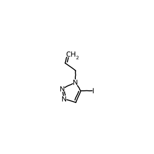 C=CCn1nncc1I